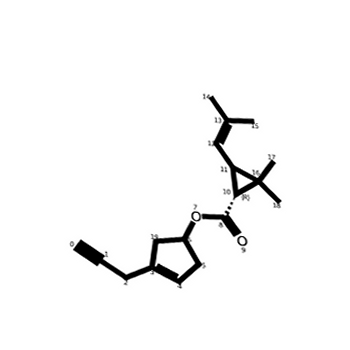 C#CCC1=CCC(OC(=O)[C@@H]2C(C=C(C)C)C2(C)C)C1